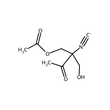 [C-]#[N+]C(CO)(COC(C)=O)C(C)=O